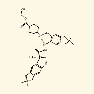 CCOC(=O)[C@H]1CC[C@@H]([C@H]2C[C@@H](NC(=O)[C@@]3(C)COc4cc5c(cc43)OC(F)(F)O5)c3ccc(OC(F)(F)F)cc3O2)CC1